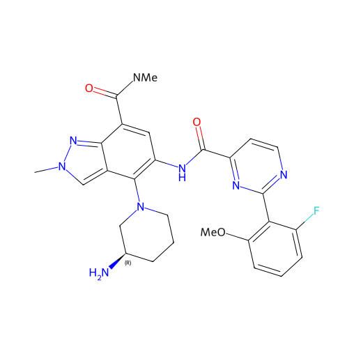 CNC(=O)c1cc(NC(=O)c2ccnc(-c3c(F)cccc3OC)n2)c(N2CCC[C@@H](N)C2)c2cn(C)nc12